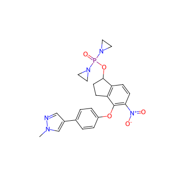 Cn1cc(-c2ccc(Oc3c([N+](=O)[O-])ccc4c3CCC4OP(=O)(N3CC3)N3CC3)cc2)cn1